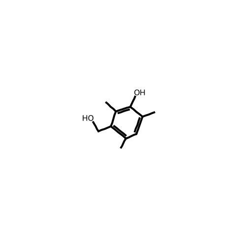 Cc1cc(C)c(CO)c(C)c1O